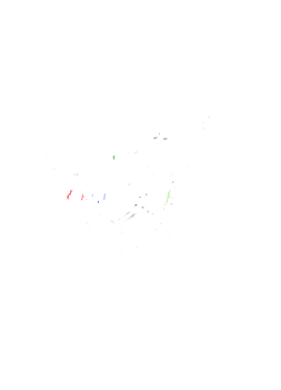 O=C(NOCC1CC1)c1ccc(F)c(F)c1Cc1ccc(I)cc1Cl